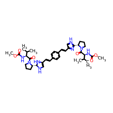 COC(=O)N[C@H](C(=O)N1CCC[C@H]1c1nc(/C=C/c2ccc(/C=C/C3=CNC([C@@H]4CCCN4C(=O)[C@@H](NC(=O)OC)C(C)C)N3)cc2)c[nH]1)C(C)C